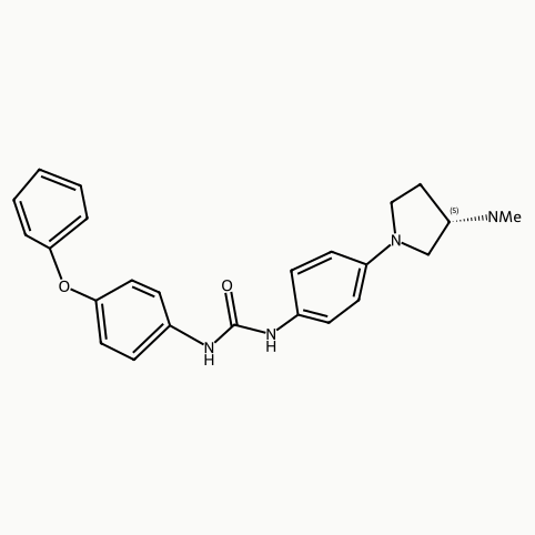 CN[C@H]1CCN(c2ccc(NC(=O)Nc3ccc(Oc4ccccc4)cc3)cc2)C1